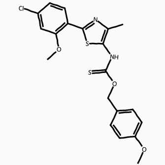 COc1ccc(COC(=S)Nc2sc(-c3ccc(Cl)cc3OC)nc2C)cc1